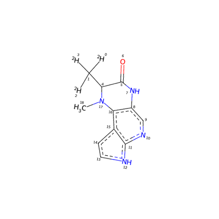 [2H]C([2H])([2H])C1C(=O)Nc2cnc3[nH]ccc3c2N1C